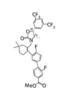 COC(=O)c1ccc(-c2ccc(F)c(C3=C(CN4C(=O)O[C@H](c5cc(C(F)(F)F)cc(C(F)(F)F)c5)[C@@H]4C)CC(C)(C)CC3)c2)c(F)c1